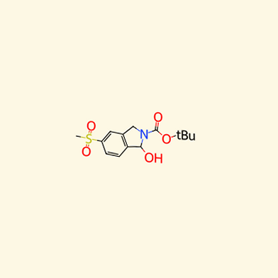 CC(C)(C)OC(=O)N1Cc2cc(S(C)(=O)=O)ccc2C1O